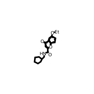 CCOc1ccc2oc(C(=O)NCC3CCCCC3)cc(=O)c2c1